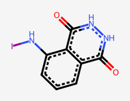 O=c1[nH][nH]c(=O)c2c(NI)cccc12